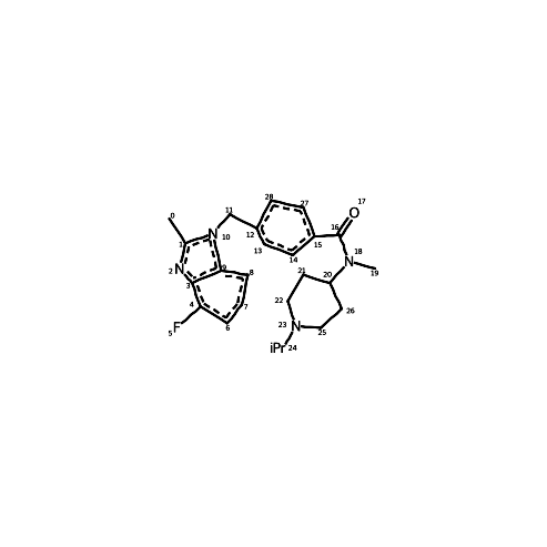 Cc1nc2c(F)cccc2n1Cc1ccc(C(=O)N(C)C2CCN(C(C)C)CC2)cc1